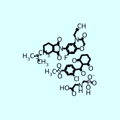 C#CCN1C(=O)COc2cc(F)c(N3C(=O)C4=C(CCCC4)C3=O)cc21.CS(=O)(=O)c1ccc(C(=O)C2C(=O)CCCC2=O)c(Cl)c1.C[S+](C)C.O=C(O)CNCP(=O)([O-])O